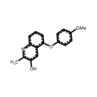 COc1ccc(Oc2cccc3nc(C)c(O)cc23)cc1